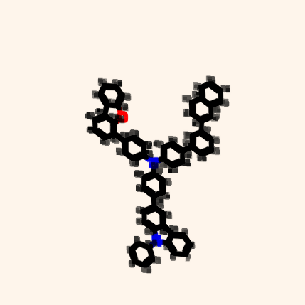 C1=CCC(n2c3ccccc3c3cc(-c4ccc(N(c5ccc(-c6cccc(-c7ccc8ccccc8c7)c6)cc5)c5ccc(-c6cccc7c6oc6ccccc67)cc5)cc4)ccc32)C=C1